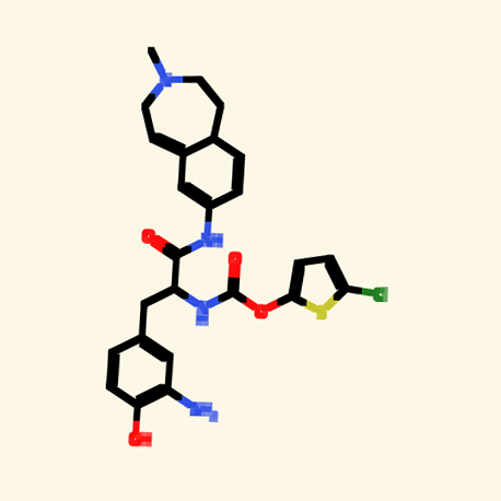 CN1CC=C2C=C(NC(=O)C(Cc3ccc(O)c(N)c3)NC(=O)Oc3ccc(Cl)s3)C=CC2CC1